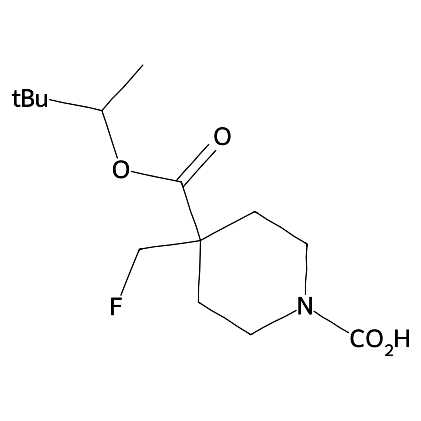 CC(OC(=O)C1(CF)CCN(C(=O)O)CC1)C(C)(C)C